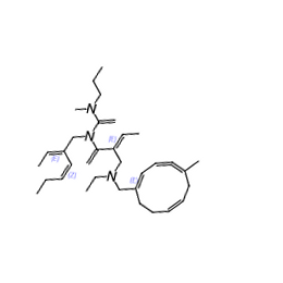 C=C(/C(=C/C)CN(CC)C/C1=C/C=C=C(C)CC=CCC1)N(CC(/C=C\CC)=C/C)C(=C)N(C)CCC